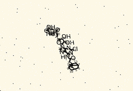 O=C(CC12CC3CC(CC(C3)C1)C2)Nc1nc(Cl)nc2c1ncn2[C@@H]1O[C@H](CCP(=O)(O)CP(=O)(O)O)C(O)C1O